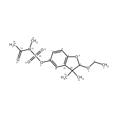 CCOC1Oc2ccc(OS(=O)(=O)N(C)C(C)=O)cc2C1(C)C